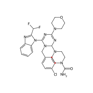 NC(=O)N1CCN(C2N=C(N3CCOCC3)N=C(n3c(C(F)F)nc4ccccc43)N2Cc2ccc(Cl)cc2)CC1